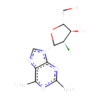 CC(=O)Nc1nc(NC(C)=O)c2ncn([C@@H]3O[C@H](CO)[C@@H](O)[C@H]3F)c2n1